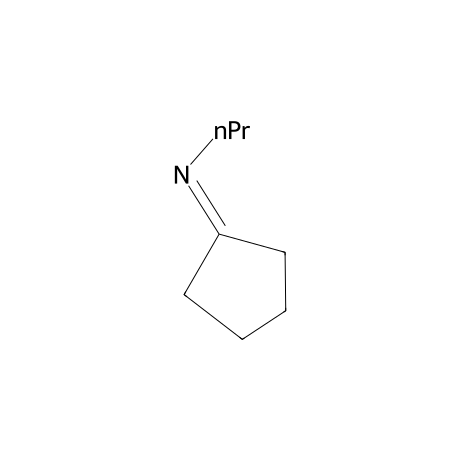 CCCN=C1CCCC1